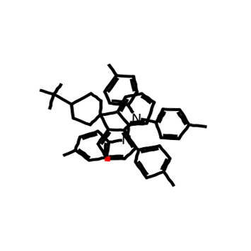 Cc1ccc(N(c2ccc(C)cc2)c2ccccc2C2(c3ccccc3N(c3ccc(C)cc3)c3ccc(C)cc3)CCC(C(C)(C)C)CC2)cc1